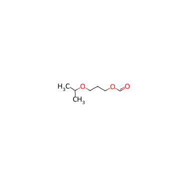 CC(C)OCCCOC=O